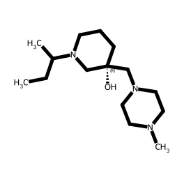 CCC(C)N1CCC[C@@](O)(CN2CCN(C)CC2)C1